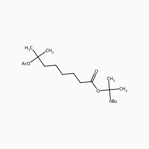 CCCCC(C)(C)OC(=O)CCCCCC(C)(C)OC(C)=O